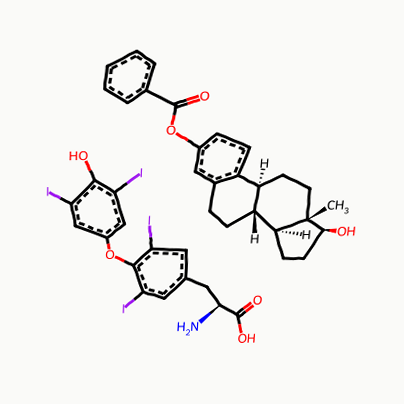 C[C@]12CC[C@@H]3c4ccc(OC(=O)c5ccccc5)cc4CC[C@H]3[C@@H]1CC[C@@H]2O.N[C@@H](Cc1cc(I)c(Oc2cc(I)c(O)c(I)c2)c(I)c1)C(=O)O